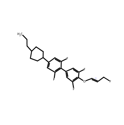 CCCC1CCC(c2cc(F)c(-c3cc(F)c(O/C=C/CF)c(F)c3)c(F)c2)CC1